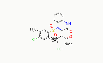 CNC(=O)[C@@H](NC)[C@@H]1C(=O)Nc2ccccc2N1S(=O)(=O)c1cc(C)c(Cl)cc1C.Cl